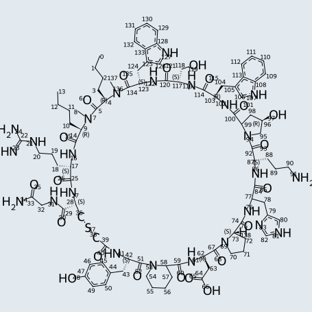 CCCC[C@@H]1C(=O)N(C)[C@H](CCCC)C(=O)N[C@@H](CCCNC(=N)N)C(=O)N[C@@H](C(=O)NCC(N)=O)CSCC(=O)N[C@@H](Cc2ccc(O)cc2)C(=O)N2CCCCC2C(=O)N[C@H](CC(=O)O)C(=O)N2CCC[C@H]2C(=O)NC(Cc2c[nH]cn2)C(=O)N[C@@H](CCCN)C(=O)N2C[C@H](O)CC2C(=O)N[C@H](Cc2c[nH]c3ccccc23)C(=O)N[C@@H](CO)C(=O)N[C@@H](Cc2c[nH]c3ccccc23)C(=O)N1C